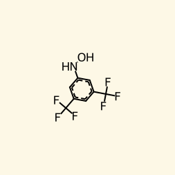 ONc1cc(C(F)(F)F)cc(C(F)(F)F)c1